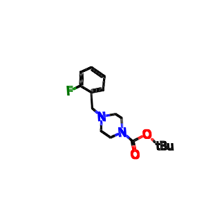 CC(C)(C)OC(=O)N1CCN(Cc2ccccc2F)CC1